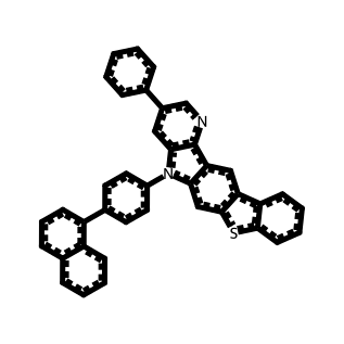 c1ccc(-c2cnc3c4cc5c(cc4n(-c4ccc(-c6cccc7ccccc67)cc4)c3c2)sc2ccccc25)cc1